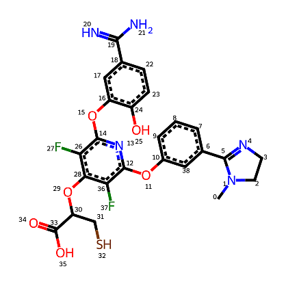 CN1CCN=C1c1cccc(Oc2nc(Oc3cc(C(=N)N)ccc3O)c(F)c(OC(CS)C(=O)O)c2F)c1